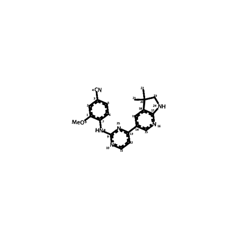 COc1cc(C#N)ccc1Nc1nccc(-c2cnc3c(c2)C(C)(C)CN3)n1